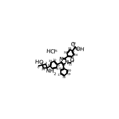 CC1(O)CC(N)(c2ccc(-c3nc4n(c3-c3ccccc3)COc3cc(C(=O)O)ccc3-4)cc2)C1.Cl